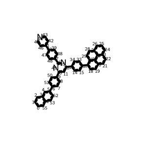 c1ccc2cc(-c3ccc(-c4cc(-c5ccc(-c6ccc7ccc8cccc9ccc6c7c89)cc5)nc(-c5ccc(-c6ccncc6)cc5)n4)cc3)ccc2c1